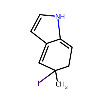 CC1(I)C=c2cc[nH]c2=CC1